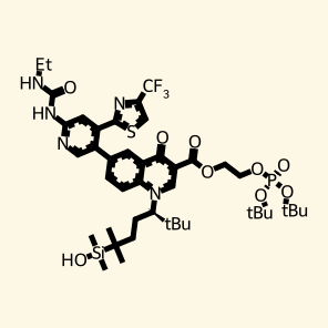 CCNC(=O)Nc1cc(-c2nc(C(F)(F)F)cs2)c(-c2ccc3c(c2)c(=O)c(C(=O)OCCOP(=O)(OC(C)(C)C)OC(C)(C)C)cn3[C@H](CCC(C)(C)[Si](C)(C)O)C(C)(C)C)cn1